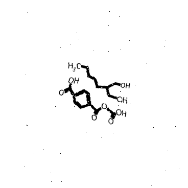 CCCCCC(CO)CO.O=C(O)OC(=O)c1ccc(C(=O)O)cc1